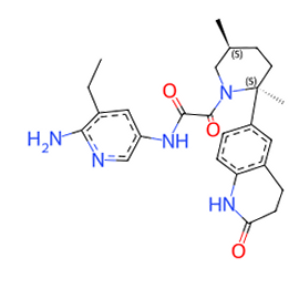 CCc1cc(NC(=O)C(=O)N2C[C@@H](C)CC[C@@]2(C)c2ccc3c(c2)CCC(=O)N3)cnc1N